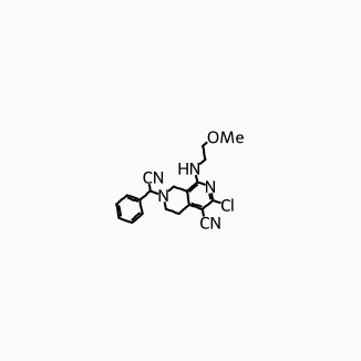 COCCNc1nc(Cl)c(C#N)c2c1CN(C(C#N)c1ccccc1)CC2